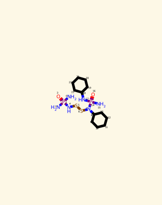 NP(N)(=O)NSSN(C1CCCCC1)P(N)(=O)NC1CCCCC1